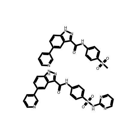 CS(=O)(=O)c1ccc(NC(=O)c2n[nH]c3ccc(-c4cccnc4)cc23)cc1.O=C(Nc1ccc(S(=O)(=O)Nc2ncccn2)cc1)c1n[nH]c2ccc(-c3cccnc3)cc12